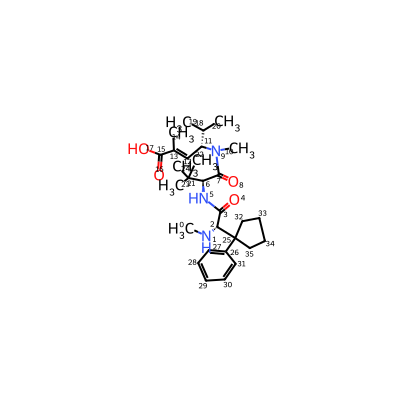 CN[C@H](C(=O)N[C@H](C(=O)N(C)[C@H](/C=C(\C)C(=O)O)C(C)C)C(C)(C)C)C1(c2ccccc2)CCCC1